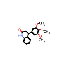 COc1cc(C2CC(=O)Nc3ccccc32)cc(OC)c1OC